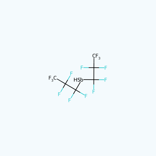 FC(F)(F)C(F)(F)[C](F)(F)[SbH][C](F)(F)C(F)(F)C(F)(F)F